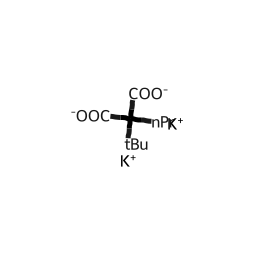 CCCC(C(=O)[O-])(C(=O)[O-])C(C)(C)C.[K+].[K+]